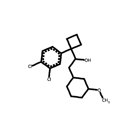 COC1CCCC(CC(O)C2(c3ccc(Cl)c(Cl)c3)CCC2)C1